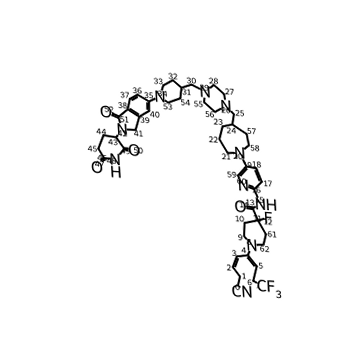 N#CC/C=C\C(=C/CC(F)(F)F)N1CCC(F)(C(=O)Nc2ccc(N3CCCC(CN4CCN(CC5CCN(c6ccc7c(c6)CN(C6CCC(=O)NC6=O)C7=O)CC5)CC4)CC3)cn2)CC1